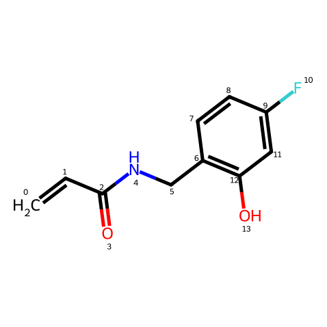 C=CC(=O)NCc1ccc(F)cc1O